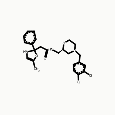 CC1=CNC(CC(=O)NC[C@@H]2CN(Cc3ccc(Cl)c(Cl)c3)CCO2)(c2ccccc2)O1